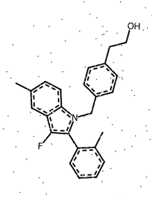 Cc1ccc2c(c1)c(F)c(-c1ccccc1C)n2Cc1ccc(CCO)cc1